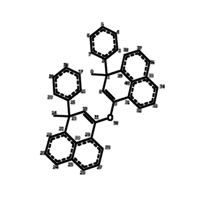 CC1(c2ccccc2)C=C(OC2=CC(C)(c3ccccc3)c3cccc4cccc2c34)c2cccc3cccc1c23